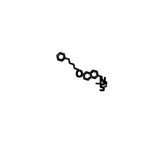 CC1SCCN1Cc1ccc2cc(OCCCCCc3ccccc3)ccc2c1